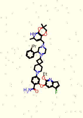 CCOc1nc2c(cc1Oc1cc(N3CCC4(CC3)CC(N3CCN(CC5=CC(C)NC6=C5OCC(C)(C)O6)CC3c3ccccc3C(C)C)C4)ccc1C(N)=O)C(F)=CC2